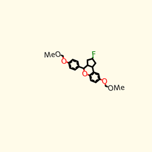 COCOc1ccc(C2Oc3ccc(OCOC)cc3C3CC(F)CC32)cc1